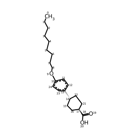 CCCCCCCCCOc1ccc([C@H]2CC[C@H](C(=O)O)CC2)cc1